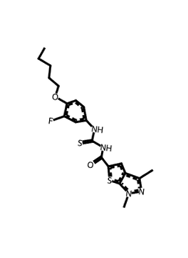 CCCCCOc1ccc(NC(=S)NC(=O)c2cc3c(C)nn(C)c3s2)cc1F